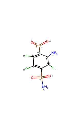 Nc1c(F)c(S(N)(=O)=O)c(F)c(F)c1[SH](=O)=O